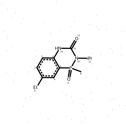 CCc1ccc2c(c1)P(C)(=O)N(C(C)C)C(=O)N2